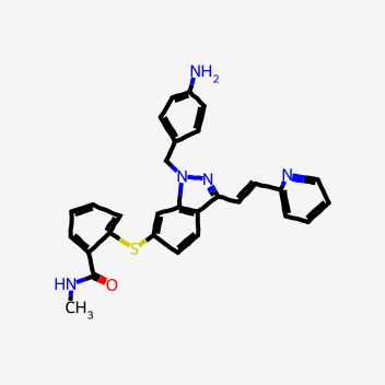 CNC(=O)c1ccccc1Sc1ccc2c(/C=C/c3ccccn3)nn(Cc3ccc(N)cc3)c2c1